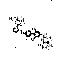 CC(C)(C)OC(=O)N1CCC[C@@H]1COc1ccc(-c2c(Cl)cc(NC(N)NC(NN)NN)cc2Cl)cc1